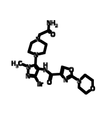 Cn1nc(Br)c(NC(=O)c2coc(N3CCOCC3)n2)c1N1CCN(CC(N)=O)CC1